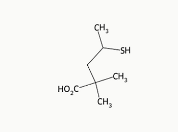 CC(S)CC(C)(C)C(=O)O